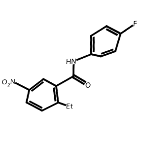 CCc1ccc([N+](=O)[O-])cc1C(=O)Nc1ccc(F)cc1